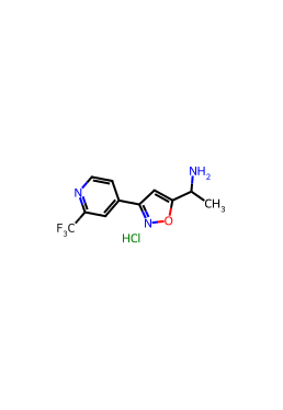 CC(N)c1cc(-c2ccnc(C(F)(F)F)c2)no1.Cl